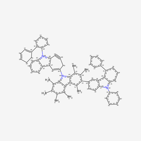 Bc1c(B)c(B)c2c(c1B)c1c(B)c(-c3ccc4c(c3)c3c(-c5ccccc5)cccc3n4-c3ccccc3)c(B)c(B)c1n2C1=Cc2c(n(-c3ccccc3C3=CC=CCC3)c3ccccc23)C#CC1